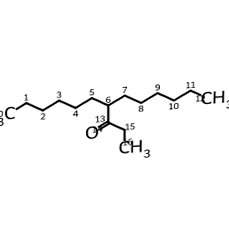 CCCCCCC(CCCCCC)C(=O)CC